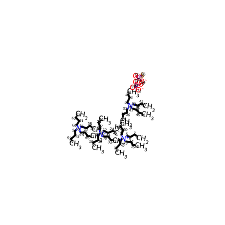 CCCC[N+](CCCC)(CCCC)CCCC.CCCC[N+](CCCC)(CCCC)CCCC.CCCC[N+](CCCC)(CCCC)CCCC.CCCC[N+](CCCC)(CCCC)CCCC.O=P([O-])([O-])OP([O-])([O-])=S